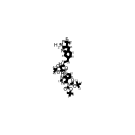 CC(C)(C)OC(=O)N(C(=O)OC(C)(C)C)c1ncnc2c1ccn2[C@@H]1O[C@H](CCc2ccc3cc(C(F)(F)F)c(N)nc3c2)[C@H]2OC(C)(C)O[C@H]21